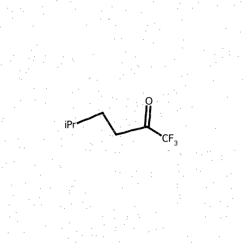 CC(C)CCC(=O)C(F)(F)F